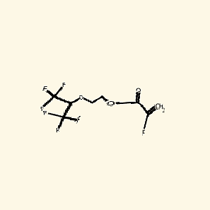 C=C(F)C(=O)OCCOC(C(F)(F)F)C(F)(F)F